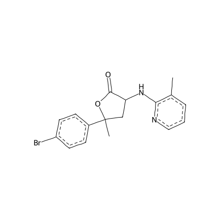 Cc1cccnc1NC1CC(C)(c2ccc(Br)cc2)OC1=O